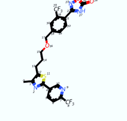 Cc1nc(-c2ccc(C(F)(F)F)nc2)sc1CCCOCc1ccc(-c2noc(=O)[nH]2)c(C(F)(F)F)c1